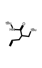 C=CCC(CC(C)(C)C)C(=O)NC(C)(C)C